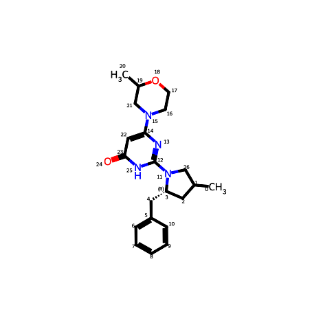 CC1C[C@H](Cc2ccccc2)N(c2nc(N3CCOC(C)C3)cc(=O)[nH]2)C1